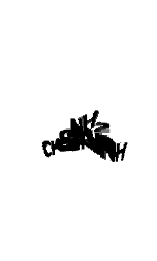 NC(=O)c1ccc(N2CCNCC2)nc1-c1ccc(Cl)cc1